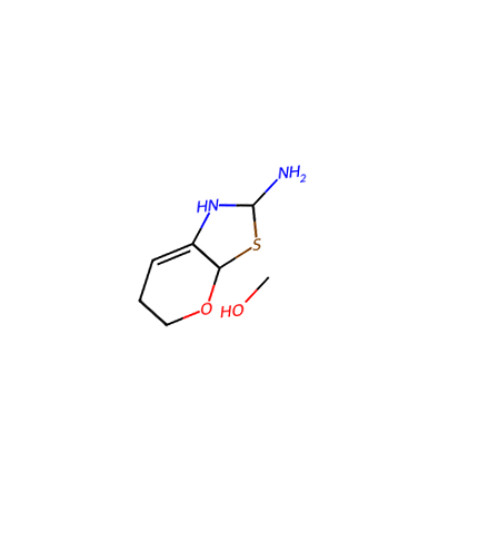 CO.NC1NC2=CCCOC2S1